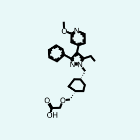 CCc1c(-c2ccnc(OC)c2)c(-c2ccccc2)nn1C[C@H]1CC[C@@H](COCC(=O)O)CC1